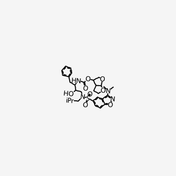 CC(C)CN(CC(O)C(Cc1ccccc1)NC(=O)OC1COC2OCCC12)S(=O)(=O)c1ccc2onc(N(C)C)c2c1